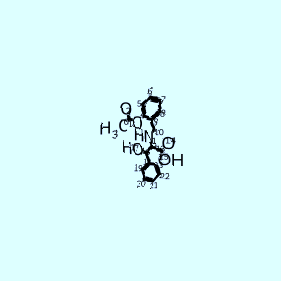 CC(=O)Oc1ccccc1CNC(C(=O)O)C(O)c1ccccc1